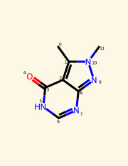 Cc1c2c(=O)[nH]cnc2nn1C